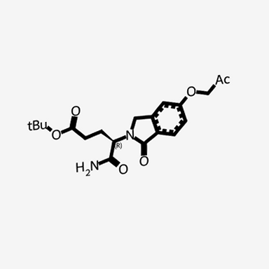 CC(=O)COc1ccc2c(c1)CN([C@H](CCC(=O)OC(C)(C)C)C(N)=O)C2=O